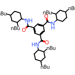 CCCCC1CCC(NC(=O)c2cc(C(=O)NC3CCC(CCCC)CC3CCCC)cc(C(=O)NC3CCC(CCCC)CC3CCCC)c2)C(CCCC)C1